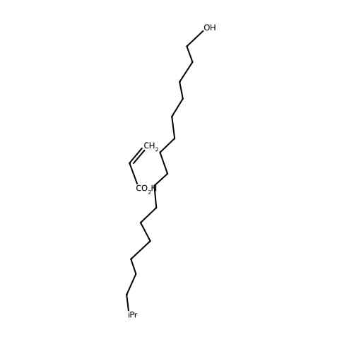 C=CC(=O)O.CC(C)CCCCCCCCCCCCCCCO